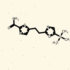 C[Si](C)(C)c1cnc(CCc2cnc(C(N)=O)s2)o1